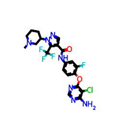 CN1CCCC(n2ncc(C(=O)Nc3ccc(Oc4ncnc(N)c4Cl)c(F)c3)c2C(F)(F)F)C1